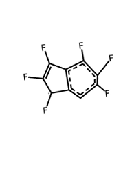 F[C]1C(F)=C(F)c2c1cc(F)c(F)c2F